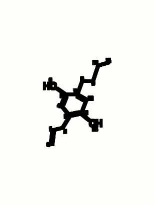 C=CCc1cc(O)c(CCCC)cc1O